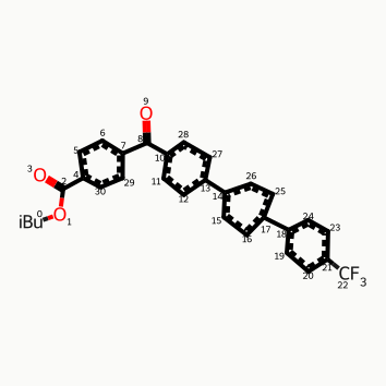 CCC(C)OC(=O)c1ccc(C(=O)c2ccc(-c3ccc(-c4ccc(C(F)(F)F)cc4)cc3)cc2)cc1